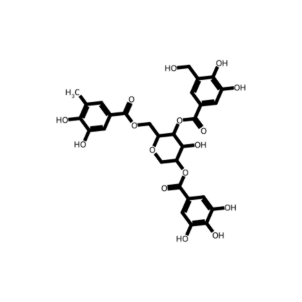 Cc1cc(C(=O)OCC2OCC(OC(=O)c3cc(O)c(O)c(O)c3)C(O)C2OC(=O)c2cc(O)c(O)c(CO)c2)cc(O)c1O